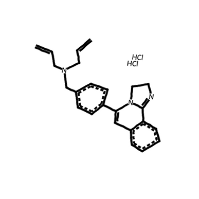 C=CCN(CC=C)Cc1ccc(C2=Cc3ccccc3C3=NCCN23)cc1.Cl.Cl